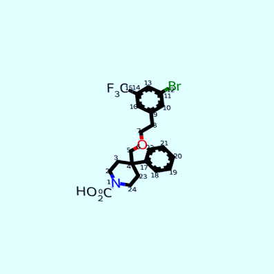 O=C(O)N1CCC(COCCc2cc(Br)cc(C(F)(F)F)c2)(c2ccccc2)CC1